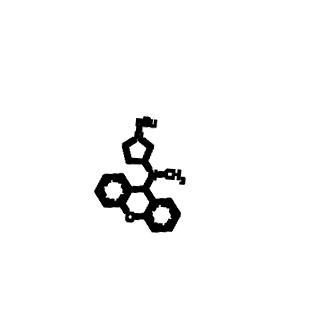 CCCCN1CCC(N(C)C2c3ccccc3Oc3ccccc32)C1